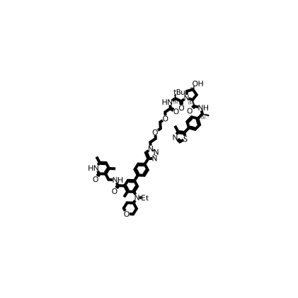 CCN(c1cc(-c2ccc(-c3cn(CCOCCOCC(=O)N[C@H](C(=O)N4C[C@H](O)C[C@H]4C(=O)N[C@@H](C)c4ccc(-c5scnc5C)cc4)C(C)(C)C)nn3)cc2)cc(C(=O)NCc2c(C)cc(C)[nH]c2=O)c1C)C1CCOCC1